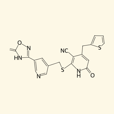 C=C1NC(c2cncc(CSc3[nH]c(=O)cc(Cc4cccs4)c3C#N)c2)=NO1